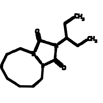 CCC(CC)N1C(=O)B2CCCCCCCB2C1=O